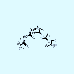 C=C.CC(=O)O.CC(=O)O.CC(=O)O.CC(=O)O.N.N.OCCO